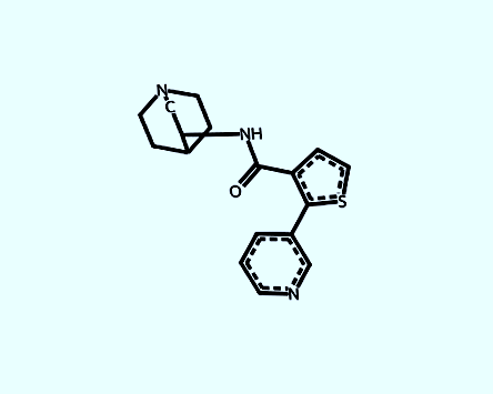 O=C(NC1CN2CCC1CC2)c1ccsc1-c1cccnc1